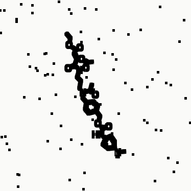 CCOC(=O)/C=C/C(=O)N(CCCN(Cc1ccc(COC(=O)Nc2ccc(N(C)C)cc2)cc1)C(C)=O)OC(C)=O